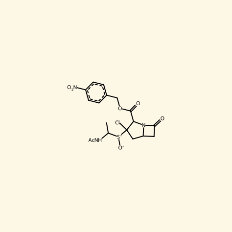 CC(=O)NC(C)[S+]([O-])C1(Cl)CC2CC(=O)N2C1C(=O)OCc1ccc([N+](=O)[O-])cc1